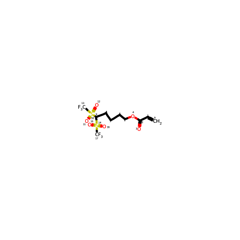 C=CC(=O)OCCCCC(S(=O)(=O)C(F)(F)F)S(=O)(=O)C(F)(F)F